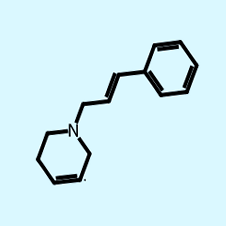 [C]1=CCCN(CC=Cc2ccccc2)C1